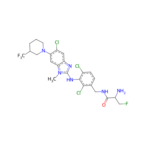 Cn1c(Nc2c(Cl)ccc(CNC(=O)C(N)CF)c2Cl)nc2cc(Cl)c(N3CCCC(C(F)(F)F)C3)cc21